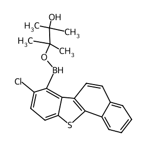 CC(C)(O)C(C)(C)OBc1c(Cl)ccc2sc3c4ccccc4ccc3c12